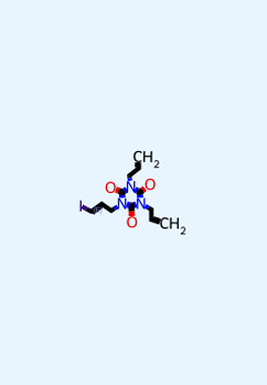 C=CCn1c(=O)n(CC=C)c(=O)n(C/C=C/I)c1=O